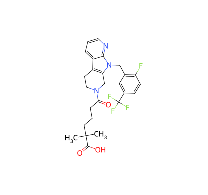 CC(C)(CCCC(=O)N1CCc2c(n(Cc3cc(C(F)(F)F)ccc3F)c3ncccc23)C1)C(=O)O